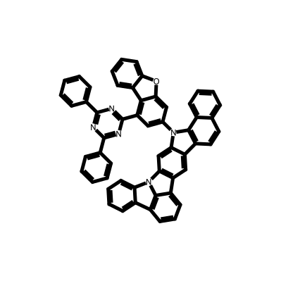 c1ccc(-c2nc(-c3ccccc3)nc(-c3cc(-n4c5cc6c(cc5c5ccc7ccccc7c54)c4cccc5c7ccccc7n6c54)cc4oc5ccccc5c34)n2)cc1